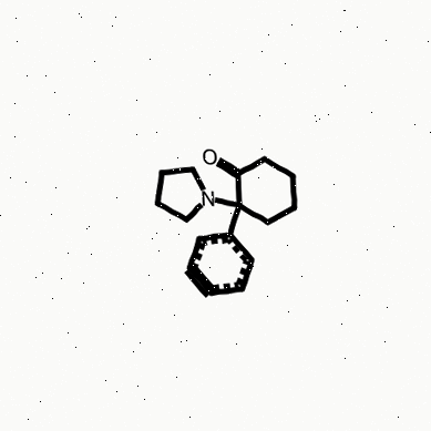 O=C1CCCCC1(c1cc#ccc1)N1CCCC1